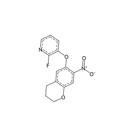 O=[N+]([O-])c1cc2c(cc1Oc1cccnc1F)CCCO2